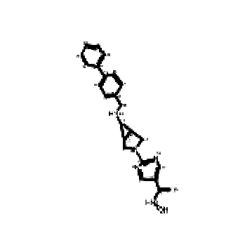 O=C(NO)c1cnc(N2CC3C(C2)C3NCc2ccc(-c3ccccc3)cc2)nc1